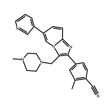 Cc1cc(-c2nc3ccc(-c4cccnc4)cn3c2CN2CCN(C)CC2)ccc1C#N